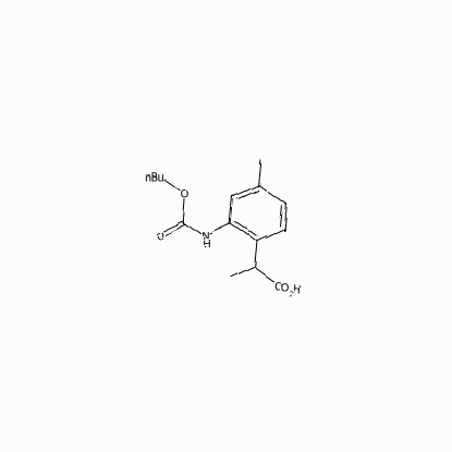 CCCCOC(=O)Nc1cc(C)ccc1C(C)C(=O)O